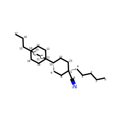 CCCCC[C@]1(C#N)CC[C@H](C23CCC(CCC)(CC2)CC3)CC1